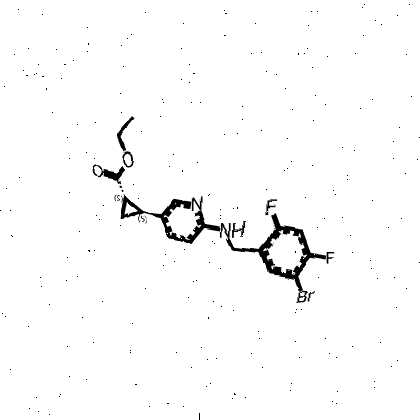 CCOC(=O)[C@H]1C[C@@H]1c1ccc(NCc2cc(Br)c(F)cc2F)nc1